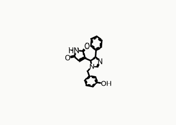 O=C1C=C(C2C(c3ccccc3)N=CN2Cc2cccc(O)c2)C(=O)N1